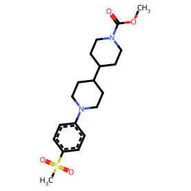 COC(=O)N1CCC(C2CCN(c3ccc(S(C)(=O)=O)cc3)CC2)CC1